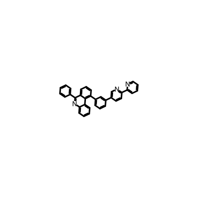 c1ccc(-c2nc3ccccc3c3c(-c4cccc(-c5ccc(-c6ccccn6)nc5)c4)cccc23)cc1